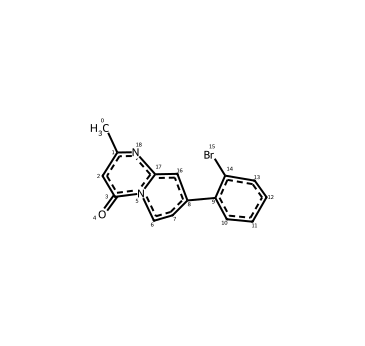 Cc1cc(=O)n2ccc(-c3ccccc3Br)cc2n1